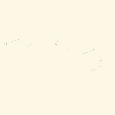 Cc1cc(Cl)ccc1OCC(=O)OCC(O)CO